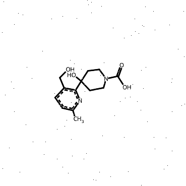 Cc1ccc(CO)c(C2(O)CCN(C(=O)O)CC2)n1